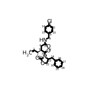 C=CC[C@@H](CC(=O)NCc1ccc(Cl)cc1)C(=O)N1C(=O)OCC1Cc1ccccc1